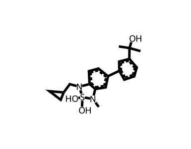 CN1c2cc(-c3cccc(C(C)(C)O)c3)ccc2N(CC2CC2)S1(O)O